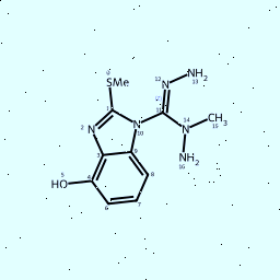 CSc1nc2c(O)cccc2n1/C(=N/N)N(C)N